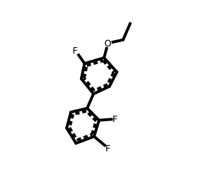 CCOc1ccc(-c2cccc(F)c2F)cc1F